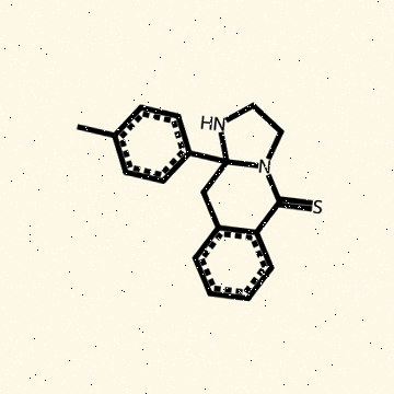 Cc1ccc(C23Cc4ccccc4C(=S)N2CCN3)cc1